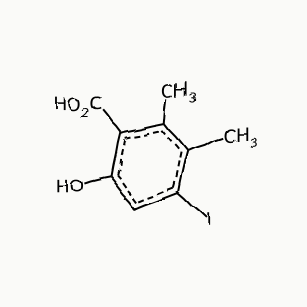 Cc1c(I)cc(O)c(C(=O)O)c1C